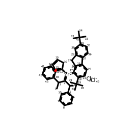 CC([C](C(C)c1ccccc1)=[Zr+2]([C]1=CC=CC1)[c]1c(C(C)(C)C)ccc2c1Cc1cc(C(C)(C)C)ccc1-2)c1ccccc1.[Cl-].[Cl-]